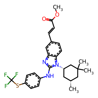 COC(=O)/C=C/c1ccc2c(c1)nc(Nc1ccc(SC(F)(F)F)cc1)n2[C@H]1C[C@@H](C)CC(C)(C)C1